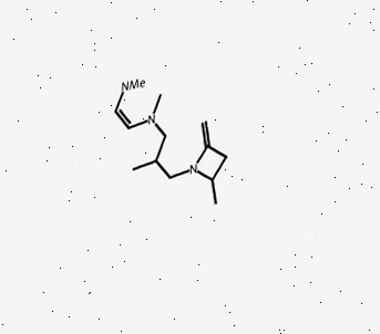 C=C1CC(C)N1CC(C)CN(C)/C=C\NC